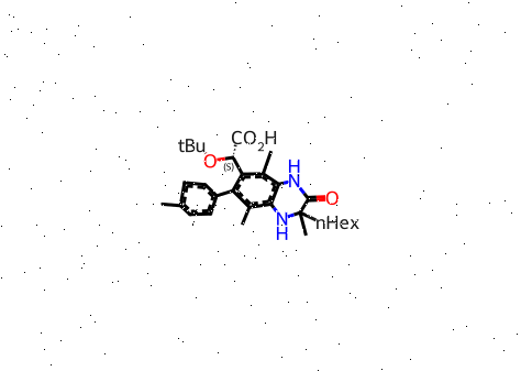 CCCCCCC1(C)Nc2c(C)c(-c3ccc(C)cc3)c([C@H](OC(C)(C)C)C(=O)O)c(C)c2NC1=O